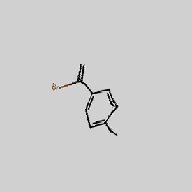 C=C(Br)c1ccc(C)cc1